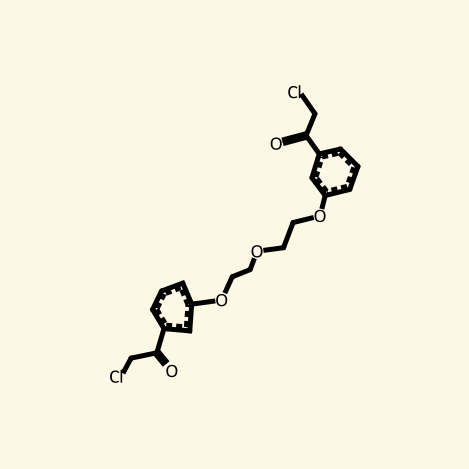 O=C(CCl)c1cccc(OCCOCCOc2cccc(C(=O)CCl)c2)c1